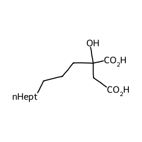 CCCCCCCCCCC(O)(CC(=O)O)C(=O)O